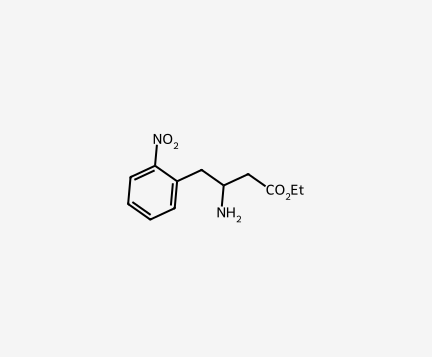 CCOC(=O)CC(N)Cc1ccccc1[N+](=O)[O-]